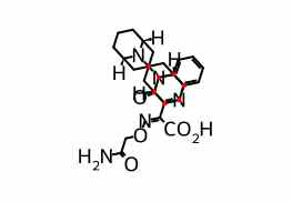 NC(=O)CO/N=C(\C(=O)O)c1nc2ccccc2n(C2C[C@H]3CCC[C@@H](C2)N3C2C[C@H]3CCC[C@@H](C2)C3)c1=O